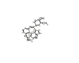 Cc1cc(C2=Nc3ccccc3-c3c(C(N)=O)cnn4ccc2c34)ccc1O